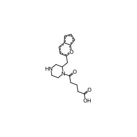 O=C(O)CCCC(=O)N1CCNCC1Cc1ccc2cccc-2o1